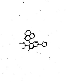 CC(=O)[C@@H](OC(C)(C)C)c1c(C)cc2nc(C3CCCC3)ccc2c1-c1ccc2c3c(ccnc13)CCO2